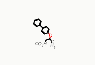 CC(CC(=O)O)Oc1ccc(-c2ccccc2)cc1